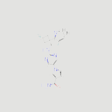 C/C=C(F)\C(=N/C)[C@]1(CNc2ncc(-n3ccc(C(N)=O)c3)cn2)C[C@@H](F)C1